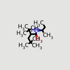 CCC(C)NC(=O)C(CC(C)(C)C)C(C)(C)C